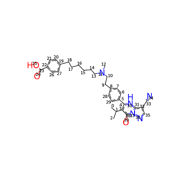 CC(C)c1c(-c2ccc(CCN(C)CCCCCCc3ccc(C(=O)O)cc3)cc2)[nH]c2c(C#N)cnn2c1=O